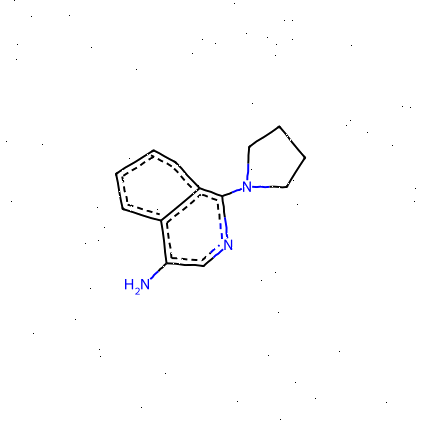 Nc1cnc(N2CCCC2)c2ccccc12